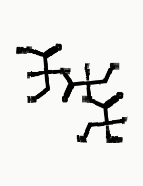 CNC(=O)[C@@](F)(CS)NC(=O)[C@@](F)(CS)NC(=O)[C@@](F)(CS)NC